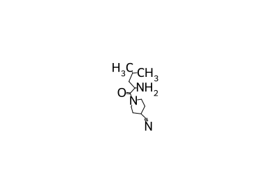 CC(C)C[C@@H](N)C(=O)N1CCC(C#N)CC1